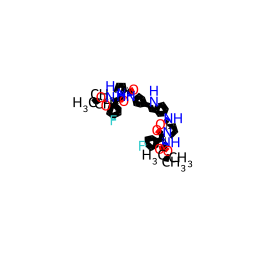 CC(C)(C)OC(=O)N[C@@H](C(=O)N1CCC[C@H]1C(=O)Nc1ccc(-c2cc3cc(NC(=O)[C@@H]4CCCN4C(=O)[C@H](NC(=O)OC(C)(C)C)c4ccc(F)cc4)ccc3[nH]2)cc1)c1ccc(F)cc1